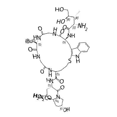 CC[C@H](C)[C@@H]1NC(=O)CNC(=O)[C@@H](NC(=O)[C@@H](N)[C@@H](C)[C@@H](O)CO)Cc2c([nH]c3ccccc23)SCC[C@@H](C(=O)N[C@@H](CC(N)=O)C(=O)N2C[C@H](O)C[C@H]2C(=O)O)NC(=O)CNC1=O